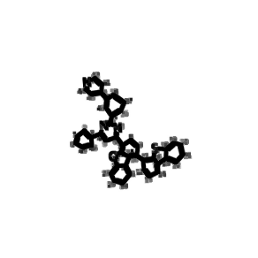 c1ccc(-c2cc(-c3ccc(-c4cccc5c4sc4ccccc45)c4c3oc3ccccc34)nc(-c3cccc(-c4ccncc4)c3)n2)cc1